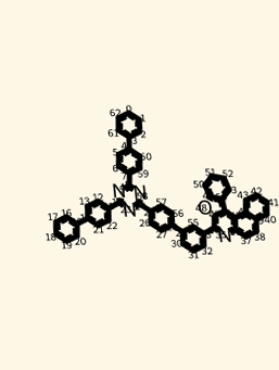 c1ccc(-c2ccc(-c3nc(-c4ccc(-c5ccccc5)cc4)nc(-c4ccc(-c5cccc(-c6nc7ccc8ccccc8c7c7c6oc6ccccc67)c5)cc4)n3)cc2)cc1